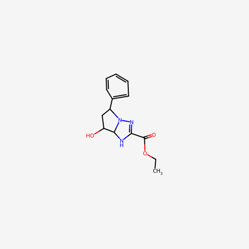 CCOC(=O)C1=NN2C(c3ccccc3)CC(O)C2N1